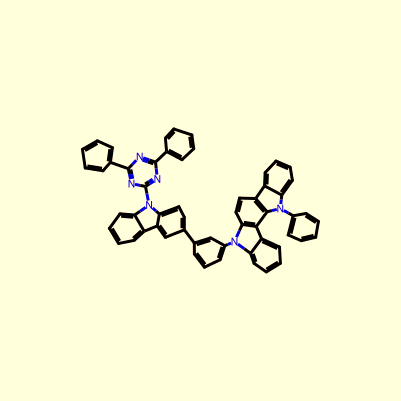 c1ccc(-c2nc(-c3ccccc3)nc(-n3c4ccccc4c4cc(-c5cccc(-n6c7ccccc7c7c6ccc6c8ccccc8n(-c8ccccc8)c67)c5)ccc43)n2)cc1